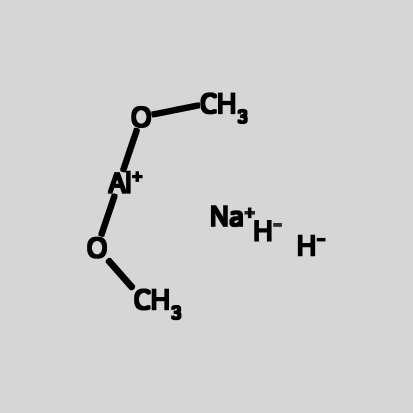 C[O][Al+][O]C.[H-].[H-].[Na+]